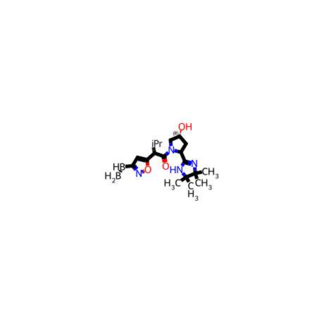 BBc1cc(C(C(=O)N2C[C@H](O)CC2C2=NC(C)(C)C(C)(C)N2)C(C)C)on1